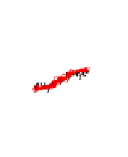 CC1(COCCCCCCOc2ccc(C(=O)Oc3ccc(OC(=O)c4ccc(OCCCCCCOCC5(C)COC5)cc4)cc3)cc2)COC1